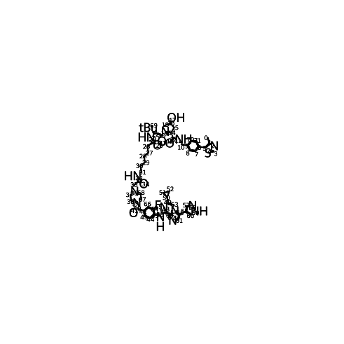 Cc1ncsc1-c1ccc(CNC(=O)[C@@H]2C[C@@H](O)CN2C(=O)[C@@H](NC(=O)CCCCCCNC(=O)CN2CCN(C(=O)c3ccc(Nc4nc(C5CC5)cn5c(-c6cn[nH]c6)cnc45)c(F)c3)CC2)C(C)(C)C)cc1